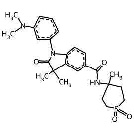 CN(C)c1cccc(N2C(=O)C(C)(C)c3cc(C(=O)NC4(C)CCS(=O)(=O)CC4)ccc32)c1